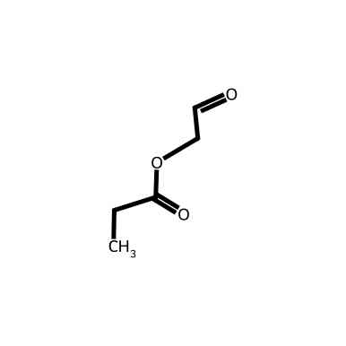 CCC(=O)OCC=O